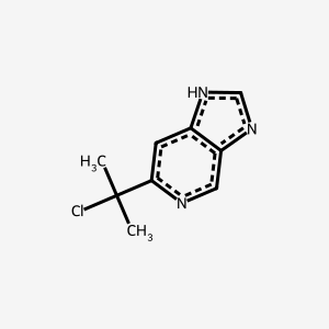 CC(C)(Cl)c1cc2[nH]cnc2cn1